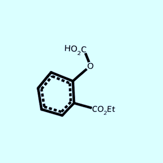 CCOC(=O)c1ccccc1OC(=O)O